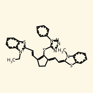 CC[n+]1c(C=CC2=C(Sc3nnnn3-c3ccccc3)/C(=C/C=C3Sc4ccccc4N3C)CC2)sc2ccccc21